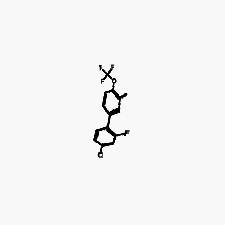 Cc1cc(-c2ccc(Cl)cc2F)ccc1OC(F)(F)F